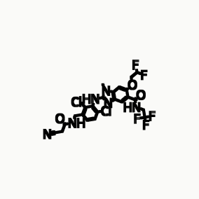 Cn1c(Nc2c(Cl)ccc(CNC(=O)CC#N)c2Cl)nc2cc(C(=O)NCC(F)(F)F)c(OCC(F)F)cc21